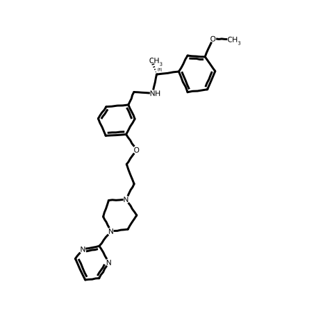 COc1cccc([C@@H](C)NCc2cccc(OCCN3CCN(c4ncccn4)CC3)c2)c1